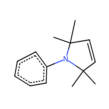 CC1(C)C=CC(C)(C)N1c1ccccc1